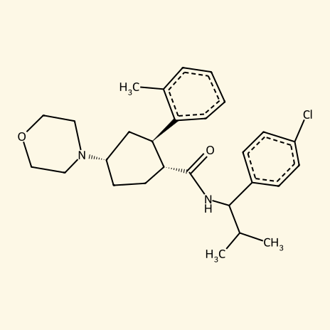 Cc1ccccc1[C@@H]1C[C@@H](N2CCOCC2)CC[C@H]1C(=O)NC(c1ccc(Cl)cc1)C(C)C